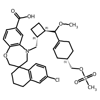 COC(C1=CC[C@@H](COS(C)(=O)=O)CC1)[C@@H]1CC[C@H]1CN1CC2(CCCc3cc(Cl)ccc32)COc2ccc(C(=O)O)cc21